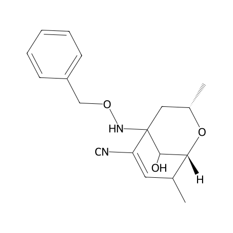 [C-]#[N+]C1=CC(C)[C@H]2O[C@@H](C)CC1(NOCc1ccccc1)C2O